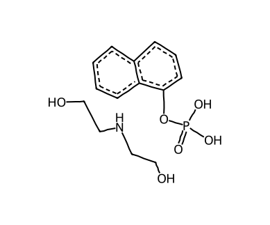 O=P(O)(O)Oc1cccc2ccccc12.OCCNCCO